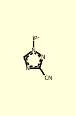 CC(C)n1cnc(C#N)n1